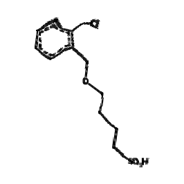 O=S(=O)(O)CCCCOCc1ccccc1Cl